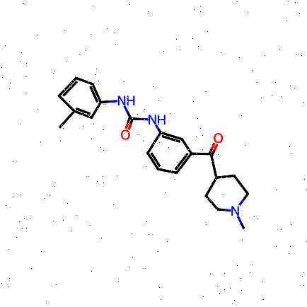 Cc1cccc(NC(=O)Nc2cccc(C(=O)C3CCN(C)CC3)c2)c1